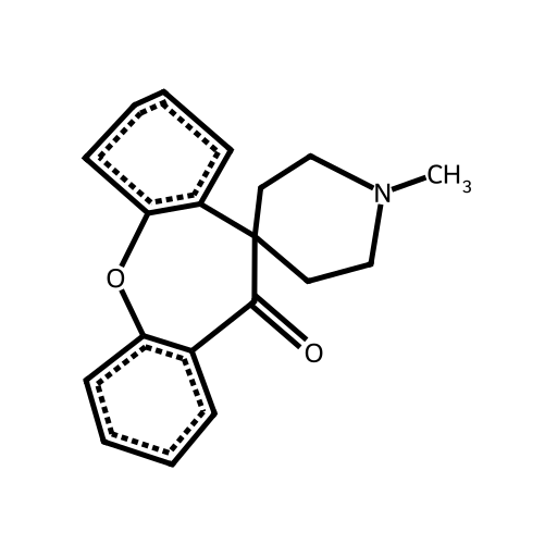 CN1CCC2(CC1)C(=O)c1ccccc1Oc1ccccc12